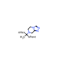 CCCCCCC(C)(CCCCC)N1CCn2cnnc2C1